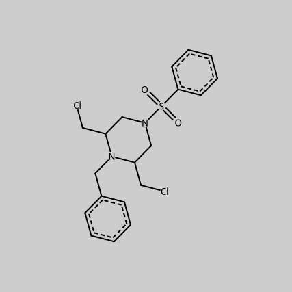 O=S(=O)(c1ccccc1)N1CC(CCl)N(Cc2ccccc2)C(CCl)C1